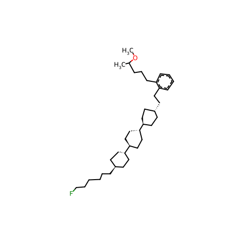 COC(C)CCCc1ccccc1CC[C@H]1CC[C@H]([C@H]2CC[C@H]([C@H]3CC[C@H](CCCCCCF)CC3)CC2)CC1